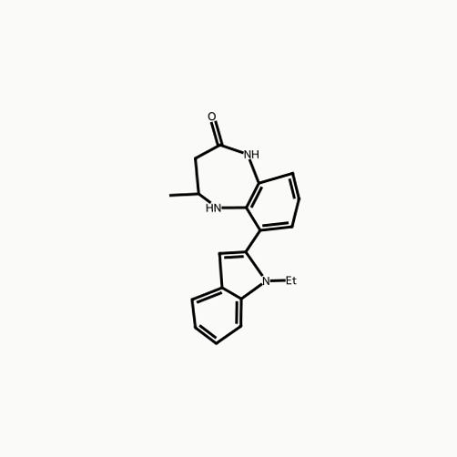 CCn1c(-c2cccc3c2NC(C)CC(=O)N3)cc2ccccc21